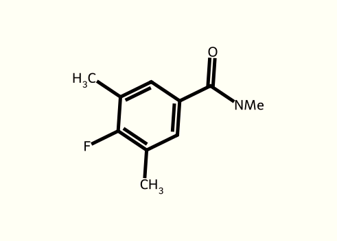 CNC(=O)c1cc(C)c(F)c(C)c1